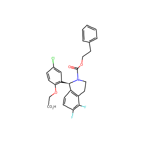 O=C(O)COc1ccc(Cl)cc1[C@@H]1c2ccc(F)c(F)c2CCN1C(=O)OCCc1ccccc1